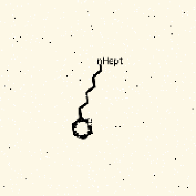 CCCCCCCCCCCCCc1bcccc1